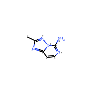 Cc1nc2ccnc(N)n2n1